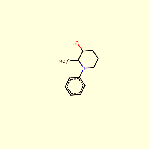 O=C(O)C1C(O)CCCN1c1ccccc1